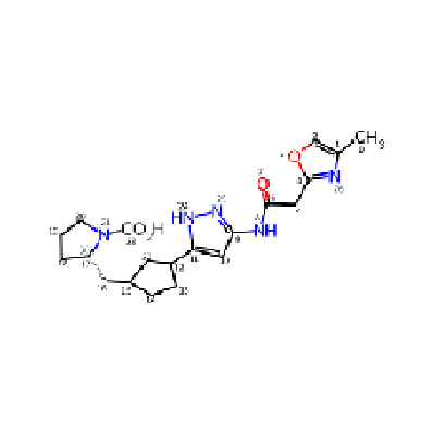 Cc1coc(CC(=O)Nc2cc(C3CCC(C[C@@H]4CCCN4C(=O)O)C3)[nH]n2)n1